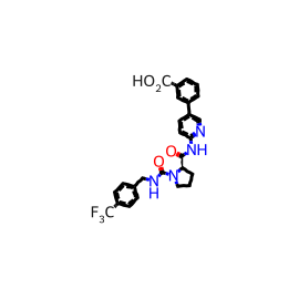 O=C(O)c1cccc(-c2ccc(NC(=O)[C@H]3CCCN3C(=O)NCc3ccc(C(F)(F)F)cc3)nc2)c1